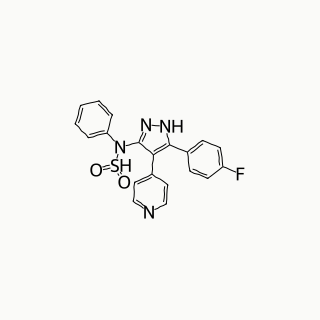 O=[SH](=O)N(c1ccccc1)c1n[nH]c(-c2ccc(F)cc2)c1-c1ccncc1